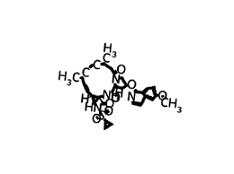 COc1ccc2c(O[C@@H]3C[C@H]4C(=O)N[C@]5(C(=O)NS(=O)(=O)C6CC6)C[C@H]5/C=C\[C@@H](C)CCC[C@@H](C)CC(=O)N4C3)nccc2c1